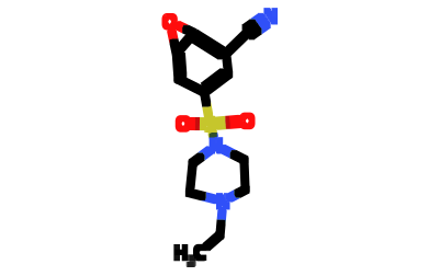 CCN1CCN(S(=O)(=O)c2cc(C#N)c3c(c2)O3)CC1